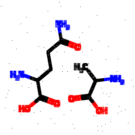 CC(N)C(=O)O.NC(=O)CCC(N)C(=O)O